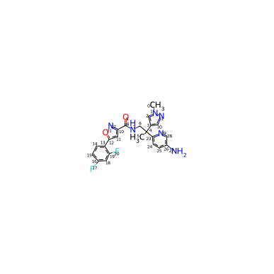 Cn1cc(C(C)(CNC(=O)c2cc(-c3ccc(F)cc3F)on2)c2ccc(N)cn2)cn1